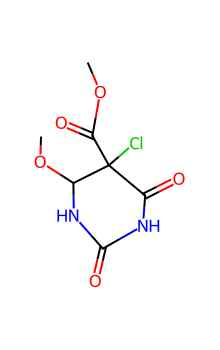 COC(=O)C1(Cl)C(=O)NC(=O)NC1OC